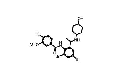 COc1cc(C(=O)Nc2c(Br)cc(Br)cc2C(C)NC2CCC(O)CC2)ccc1O